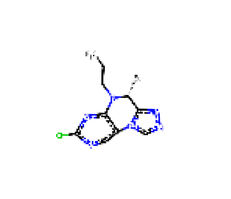 CC[C@@H]1c2nncn2-c2cnc(Cl)nc2N1CCC(F)(F)F